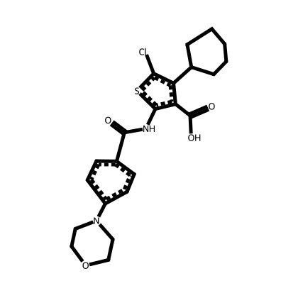 O=C(Nc1sc(Cl)c(C2CCCCC2)c1C(=O)O)c1ccc(N2CCOCC2)cc1